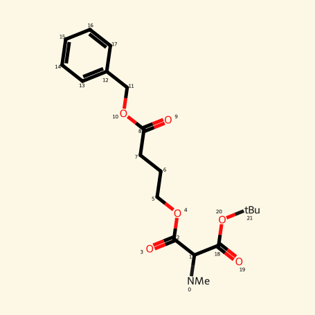 CNC(C(=O)OCCCC(=O)OCc1ccccc1)C(=O)OC(C)(C)C